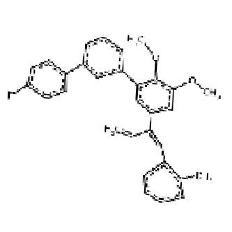 C=C/C(=C\c1ccccc1C)c1cc(OC)c(OC)c(-c2cccc(-c3ccc(F)cc3)c2)c1